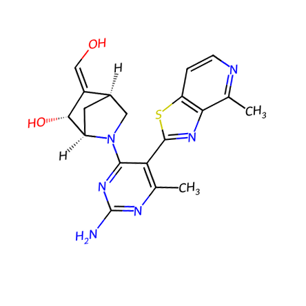 Cc1nc(N)nc(N2C[C@H]3C[C@@H]2[C@H](O)/C3=C/O)c1-c1nc2c(C)nccc2s1